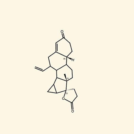 C=CC1CC2=CC(=O)CC[C@@H]2C2CC[C@@]3(C)C(C4CC4[C@@]34CCC(=O)O4)C12